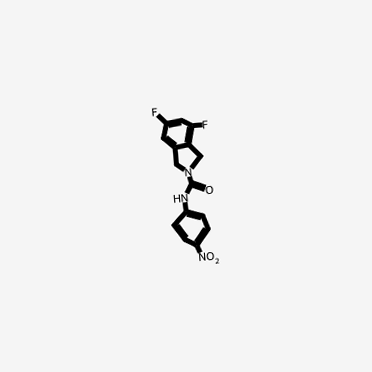 O=C(Nc1ccc([N+](=O)[O-])cc1)N1Cc2cc(F)cc(F)c2C1